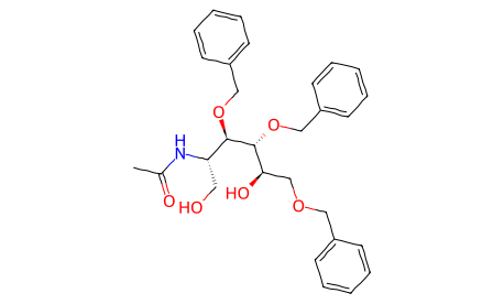 CC(=O)N[C@@H](CO)[C@@H](OCc1ccccc1)[C@H](OCc1ccccc1)[C@H](O)COCc1ccccc1